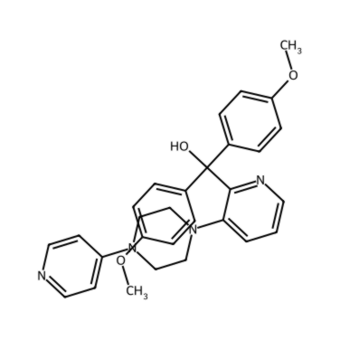 COc1ccc(C(O)(c2ccc(OC)cc2)c2ncccc2N2CCN(c3ccncc3)CC2)cc1